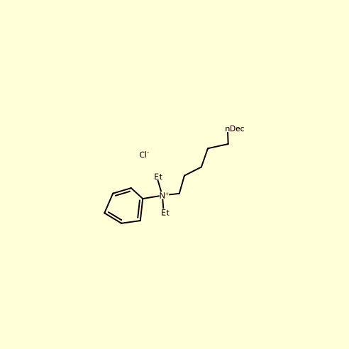 CCCCCCCCCCCCCCC[N+](CC)(CC)c1ccccc1.[Cl-]